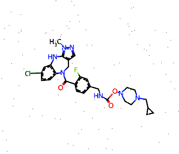 Cn1ncc2c1Nc1cc(Cl)ccc1N(C(=O)c1ccc(CNC(=O)ON3CCN(CC4CC4)CC3)cc1F)C2